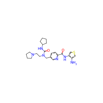 Nc1cscc1NC(=O)c1ccc(CN(CCN2CCCC2)C(=O)NC2CCCC2)cn1